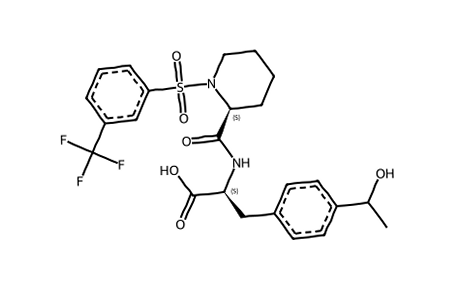 CC(O)c1ccc(C[C@H](NC(=O)[C@@H]2CCCCN2S(=O)(=O)c2cccc(C(F)(F)F)c2)C(=O)O)cc1